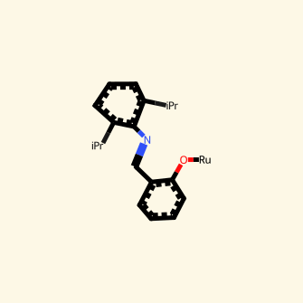 CC(C)c1cccc(C(C)C)c1N=Cc1ccccc1[O][Ru]